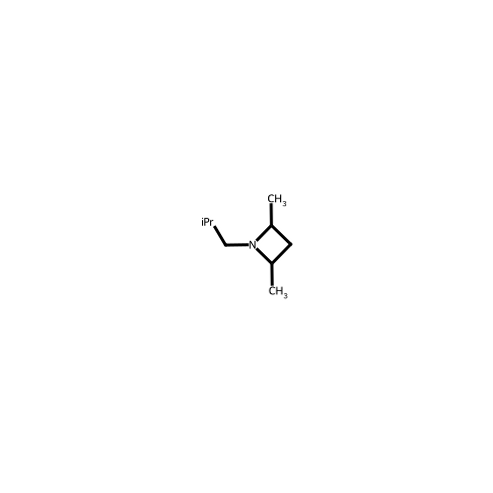 CC(C)CN1C(C)CC1C